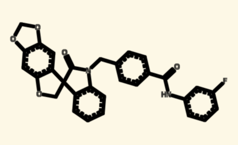 O=C(Nc1cccc(F)c1)c1ccc(CN2C(=O)C3(COc4cc5c(cc43)OCO5)c3ccccc32)cc1